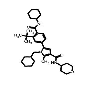 Cc1c(C(=O)NC2CCOCC2)cc(-c2ccc(C(=O)NC3CCCCC3)c(C(C)(C)C)c2)n1CC1CCCCC1